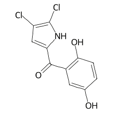 O=C(c1cc(Cl)c(Cl)[nH]1)c1cc(O)ccc1O